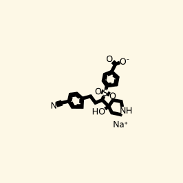 N#Cc1ccc(CCC(C2(O)CCNCC2)S(=O)(=O)c2ccc(C(=O)[O-])cc2)cc1.[Na+]